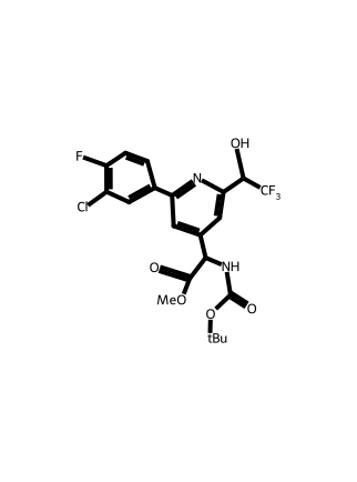 COC(=O)C(NC(=O)OC(C)(C)C)c1cc(-c2ccc(F)c(Cl)c2)nc(C(O)C(F)(F)F)c1